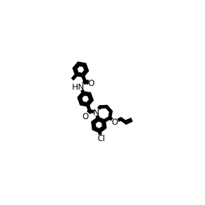 C=CCOC1CCCN(C(=O)c2ccc(NC(=O)c3ccccc3C)cc2)c2ccc(Cl)cc21